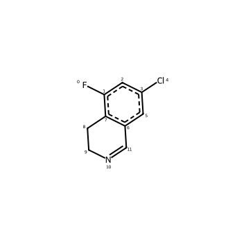 Fc1cc(Cl)cc2c1CCN=C2